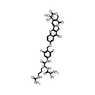 CCc1c2c(nc3ccc(OCc4c(F)cc(NC(=O)[C@H](CCCNC(N)=O)NC(=O)[C@@H](N)C(C)C)cc4F)cc13)-c1cc3c(c(=O)n1C2)COC(=O)[C@]3(O)CC